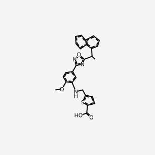 COc1ccc(-c2noc(C(C)c3cccc4ccccc34)n2)cc1NCc1ccc(C(=O)O)s1